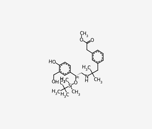 COC(=O)Cc1cccc(CC(C)(C)NC[C@H](O[Si](C)(C)C(C)(C)C)c2ccc(O)c(CO)c2)c1